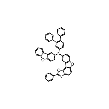 c1ccc(-c2nc3ccc4oc5ccc(N(c6ccc(-c7ccccc7)c(-c7ccccc7)c6)c6ccc7oc8ccccc8c7c6)cc5c4c3o2)cc1